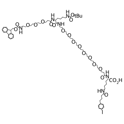 CC(C)(C)OC(=O)NCCCCC(NC(=O)CCOCCOCCOCCNC(=O)OCC1c2ccccc2-c2ccccc21)C(=O)NCCOCCOCCOCCOCCOCCOCCOCCOCCC(=O)N[C@@H](CCCCNC(=O)CCCc1ccc(I)cc1)C(=O)O